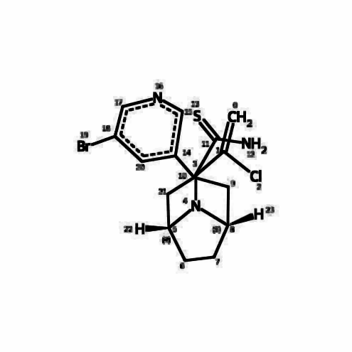 C=C(Cl)CN1[C@@H]2CC[C@H]1CC(C(N)=S)(c1cncc(Br)c1)C2